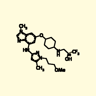 COCCCn1nc(Nc2cc(OC3CCC(NC[C@@H](O)C(F)(F)F)CC3)cc3c2ncn3C)cc1C